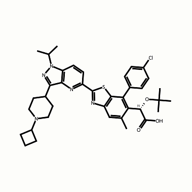 Cc1cc2nc(-c3ccc4c(n3)c(C3CCN(C5CCC5)CC3)nn4C(C)C)sc2c(-c2ccc(Cl)cc2)c1[C@H](OC(C)(C)C)C(=O)O